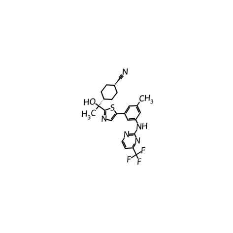 Cc1cc(Nc2nccc(C(F)(F)F)n2)cc(-c2cnc(C(C)(O)[C@H]3CC[C@H](C#N)CC3)s2)c1